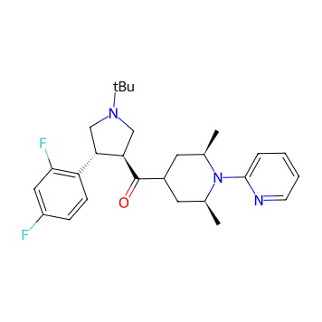 C[C@@H]1CC(C(=O)[C@@H]2CN(C(C)(C)C)C[C@H]2c2ccc(F)cc2F)C[C@H](C)N1c1ccccn1